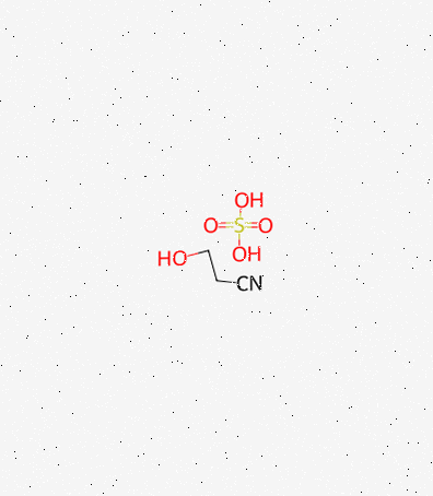 N#CCCO.O=S(=O)(O)O